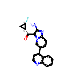 Nc1nc2ccc(-c3ccnc4ccccc34)cn2c1C(=O)[C@@H]1C[C@@H]1F